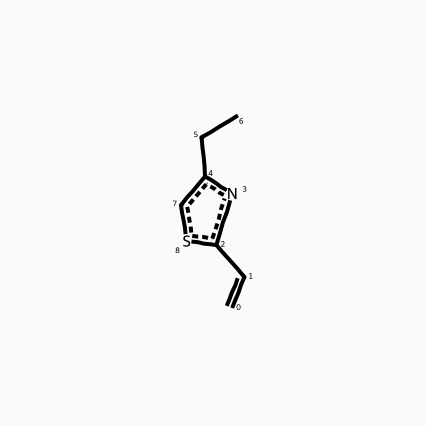 C=Cc1nc(CC)cs1